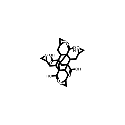 O=C(O)C12CC3(C(=O)O)C(CC4CO4)C(C(=O)O)(CC(C(=O)O)(C1CC1CO1)C3CC1CO1)C2CC1CO1